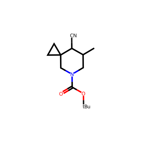 CC1CN(C(=O)OC(C)(C)C)CC2(CC2)C1C#N